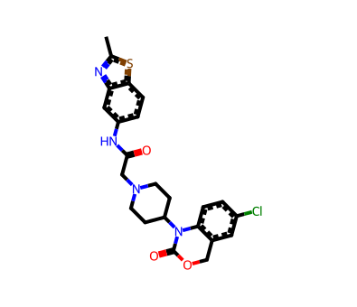 Cc1nc2cc(NC(=O)CN3CCC(N4C(=O)OCc5cc(Cl)ccc54)CC3)ccc2s1